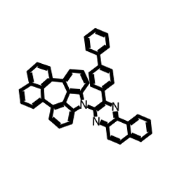 c1ccc(-c2ccc(-c3nc4c(ccc5ccccc54)nc3-n3c4cccc5c4c4c(cccc43)-c3cccc4cccc-5c34)cc2)cc1